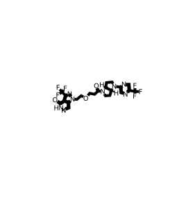 O=C(CCOCCn1nc(C(F)(F)F)c2c(=O)[nH]ncc21)N1CC[C@@H]2[C@H]1CCN2c1cnc(C(F)(F)F)cn1